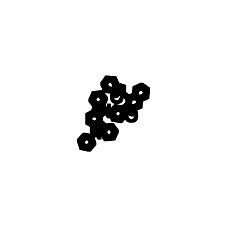 c1ccc(-n2c3ccccc3c3c2ccc2c4ccccc4n(-c4ccc5oc6cc7ccccc7c(-c7cc8ccccc8o7)c6c5c4)c23)cc1